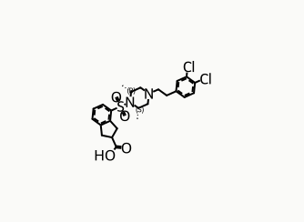 C[C@@H]1CN(CCc2ccc(Cl)c(Cl)c2)C[C@H](C)N1S(=O)(=O)c1cccc2c1CC(C(=O)O)C2